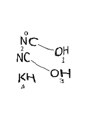 N#CO.N#CO.[KH]